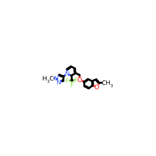 Cc1cc2cc(OCC3=CC=CN(c4cnn(C)c4)C3C(F)(F)F)ccc2o1